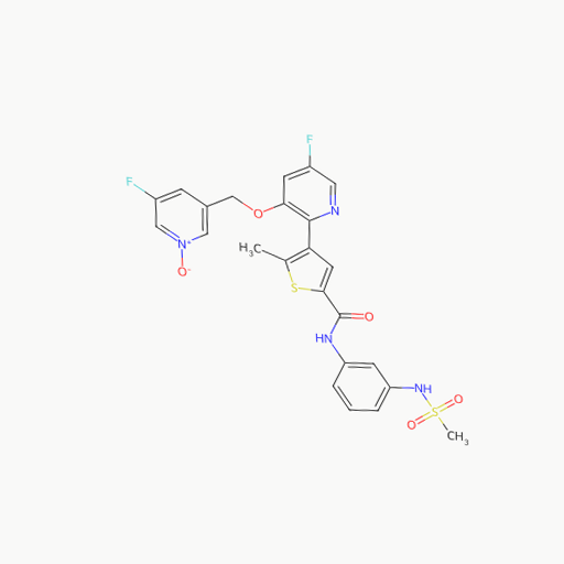 Cc1sc(C(=O)Nc2cccc(NS(C)(=O)=O)c2)cc1-c1ncc(F)cc1OCc1cc(F)c[n+]([O-])c1